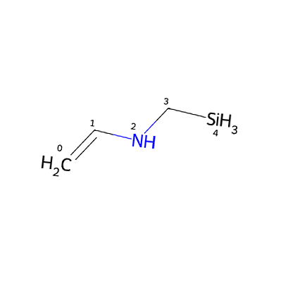 C=CNC[SiH3]